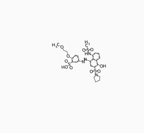 COCCOc1ccc(N=Nc2cc(S(=O)(=O)N3CCCC3)c(O)c3cccc(NS(C)(=O)=O)c23)cc1S(=O)(=O)O